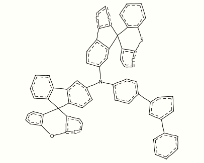 c1ccc(-c2cccc(-c3ccc(N(c4ccc5c(c4)-c4ccccc4C54c5ccccc5Oc5ccccc54)c4ccc5c(c4)C4(c6ccccc6Sc6ccccc64)c4ccccc4-5)cc3)c2)cc1